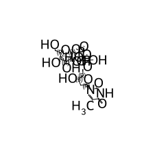 Cc1cn([C@H]2C[C@H](O)[C@@H](COP(=O)(O)OP(=O)(O)O[C@H]3O[C@H](CO)[C@@H](O)[C@@H](O)[C@H]3O)O2)c(=O)[nH]c1=O